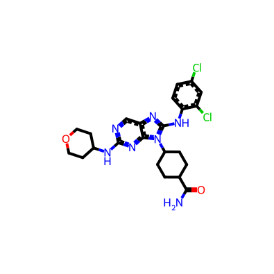 NC(=O)C1CCC(n2c(Nc3ccc(Cl)cc3Cl)nc3cnc(NC4CCOCC4)nc32)CC1